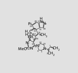 C=CC(=C)N1CCN(c2nc(OC)nc(=C)/c2=C\C(C)=C(/C)c2c(C)c(F)cc3[nH]ncc23)CC1